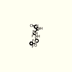 O=C(c1c(F)cccc1F)N1CCC[C@H](CNc2nc(-c3c[nH]c4ncc(Cl)cc34)ncc2F)C1